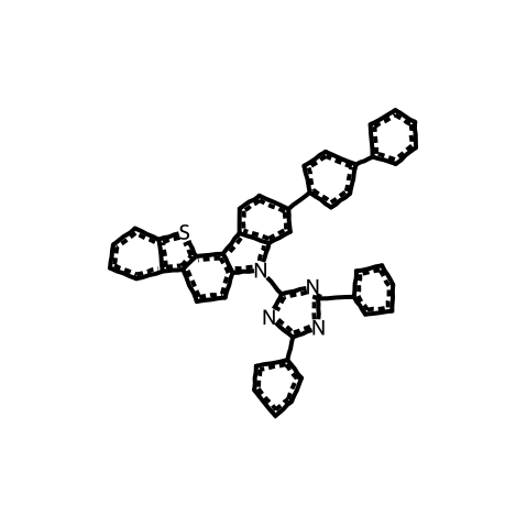 c1ccc(-c2ccc(-c3ccc4c5c6sc7ccccc7c6ccc5n(-c5nc(-c6ccccc6)nc(-c6ccccc6)n5)c4c3)cc2)cc1